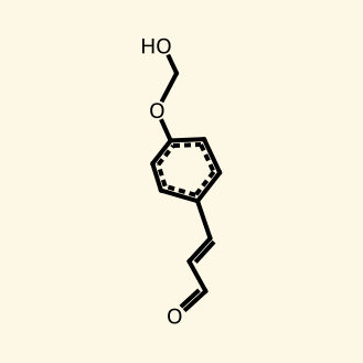 O=C/C=C/c1ccc(OCO)cc1